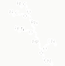 CCCOC(CCPCCCC(CCPCCC(OCCC)OCCC)OCCN)OCCC